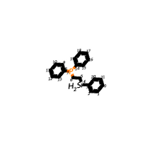 c1ccc([SiH2]CCP(c2ccccc2)c2ccccc2)cc1